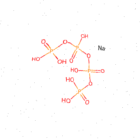 O=P(O)(O)OP(=O)(O)OP(=O)(O)OP(=O)(O)O.[Na]